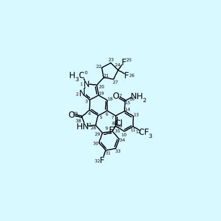 Cn1nc2c3c(c(-c4c(F)cc(C(F)(F)F)cc4C(N)=O)cc2c1C1CCC(F)(F)C1)C(c1cc(F)ccc1Cl)NC3=O